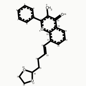 Cc1c(-c2ccccc2)oc2c(C=CCCC3OCCO3)cccc2c1=O